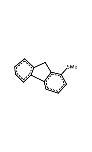 CSc1cccc2c1Cc1ccccc1-2